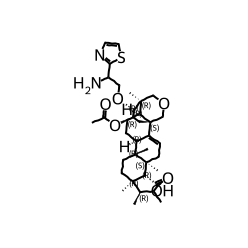 CC(=O)O[C@@H]1C[C@]23COC[C@@](C)([C@@H]2CC[C@H]2C3=CC[C@@]3(C)[C@H](C(=O)O)[C@@](C)([C@H](C)C(C)C)CC[C@]23C)[C@H]1OCC(N)c1nccs1